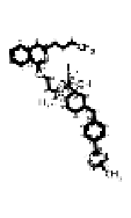 CCCCc1cc2ccccc2c(OCC[N+](C)(C)[C@H]2CCC(Cc3ccc(-c4nc(C)no4)cc3)C[C@@]2(O)C(N)=O)n1